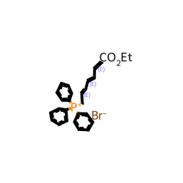 CCOC(=O)/C=C/C=C/C=C/C[P+](c1ccccc1)(c1ccccc1)c1ccccc1.[Br-]